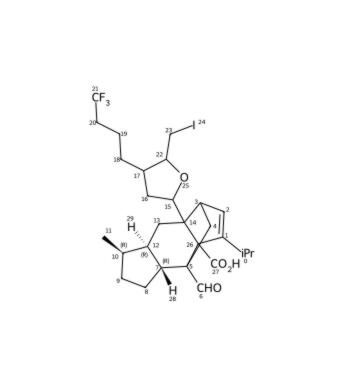 CC(C)C1=CC2CC3(C=O)[C@@H]4CC[C@@H](C)[C@H]4CC2(C2CC(CCCC(F)(F)F)C(CI)O2)C13C(=O)O